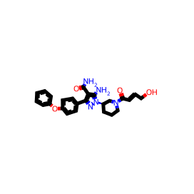 NC(=O)c1c(-c2ccc(Oc3ccccc3)cc2)nn([C@@H]2CCCN(C(=O)C=CCO)C2)c1N